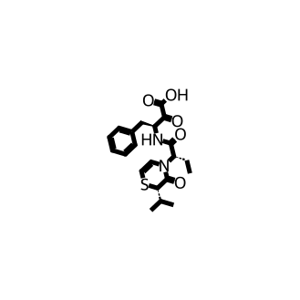 CC[C@@H](C(=O)N[C@@H](Cc1ccccc1)C(=O)C(=O)O)N1C=CS[C@@H](C(C)C)C1=O